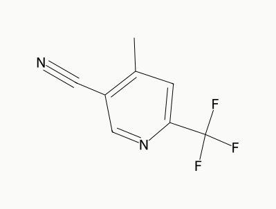 Cc1cc(C(F)(F)F)ncc1C#N